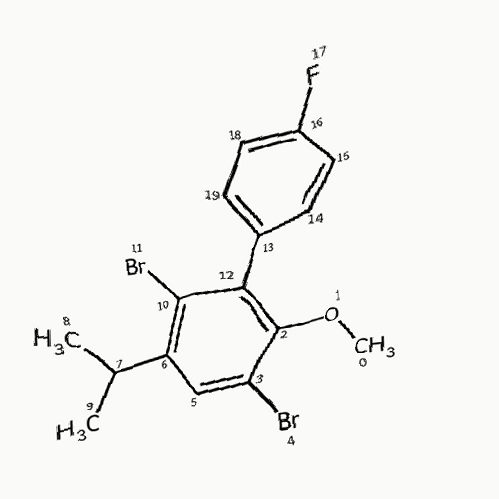 COc1c(Br)cc(C(C)C)c(Br)c1-c1ccc(F)cc1